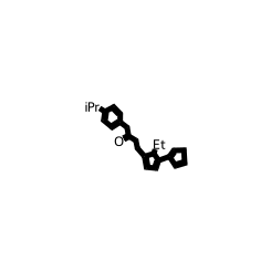 CCC1C(CCC(=O)Cc2ccc(C(C)C)cc2)=CC=C1C1=CCC=C1